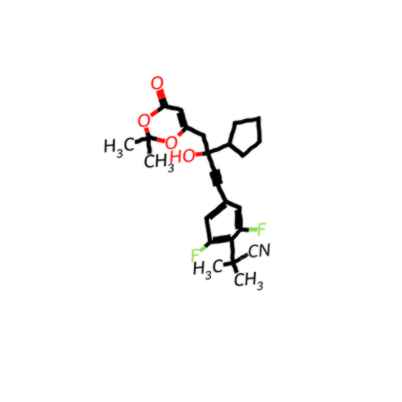 CC1(C)OC(=O)C=C(CC(O)(C#Cc2cc(F)c(C(C)(C)C#N)c(F)c2)C2CCCC2)O1